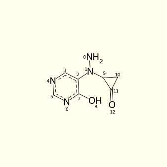 NN(c1cncnc1O)C1CC1=O